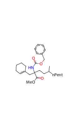 CCCCCC(C)CCC(CC1=CCCCC1)(NC(=O)OCc1ccccc1)C(=O)OC